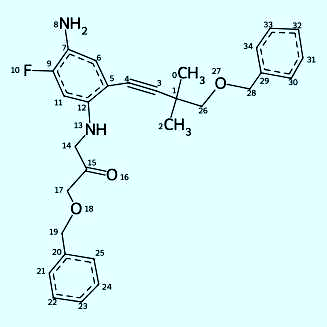 CC(C)(C#Cc1cc(N)c(F)cc1NCC(=O)COCc1ccccc1)COCc1ccccc1